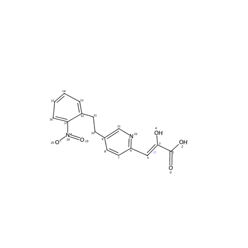 O=C(O)/C(O)=C/c1ccc(CCc2ccccc2[N+](=O)[O-])cn1